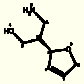 NCC(CO)[C@@H]1C=CCO1